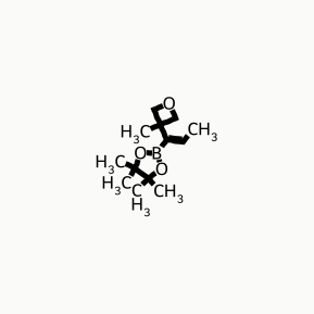 C/C=C(/B1OC(C)(C)C(C)(C)O1)C1(C)COC1